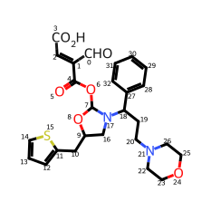 O=C/C(=C\C(=O)O)C(=O)OC1OC(Cc2cccs2)CN1C(CCN1CCOCC1)c1ccccc1